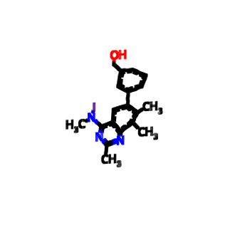 Cc1nc(N(C)I)c2cc(-c3cccc(CO)c3)c(C)c(C)c2n1